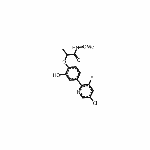 CONC(=O)C(C)Oc1ccc(-c2ncc(Cl)cc2F)cc1O